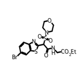 CCOC(=O)CNC(=O)C(c1nc2ccc(Br)cc2s1)S(=O)(=O)N1CCOCC1